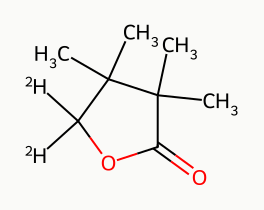 [2H]C1([2H])OC(=O)C(C)(C)C1(C)C